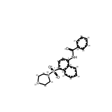 O=C(Nc1ccc(S(=O)(=O)N2CCOCC2)c2ccccc12)c1ccccc1